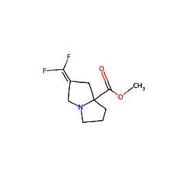 COC(=O)C12CCCN1CC(=C(F)F)C2